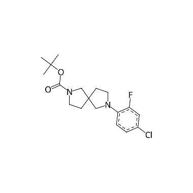 CC(C)(C)OC(=O)N1CCC2(CCN(c3ccc(Cl)cc3F)C2)C1